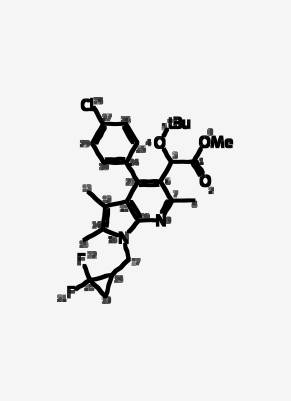 COC(=O)C(OC(C)(C)C)c1c(C)nc2c(c(C)c(C)n2CC2CC2(F)F)c1-c1ccc(Cl)cc1